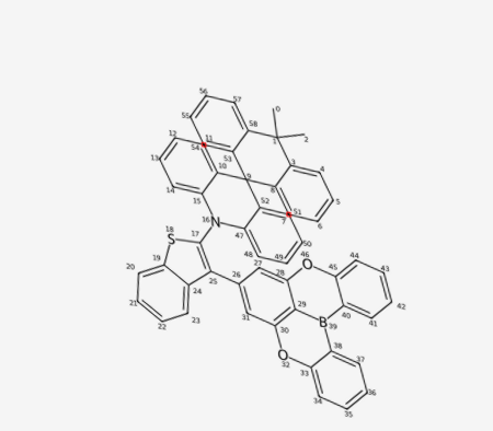 CC1(C)c2ccccc2C2(c3ccccc3N(c3sc4ccccc4c3-c3cc4c5c(c3)Oc3ccccc3B5c3ccccc3O4)c3ccccc32)c2ccccc21